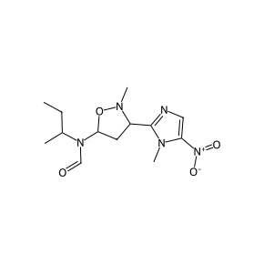 CCC(C)N(C=O)C1CC(c2ncc([N+](=O)[O-])n2C)N(C)O1